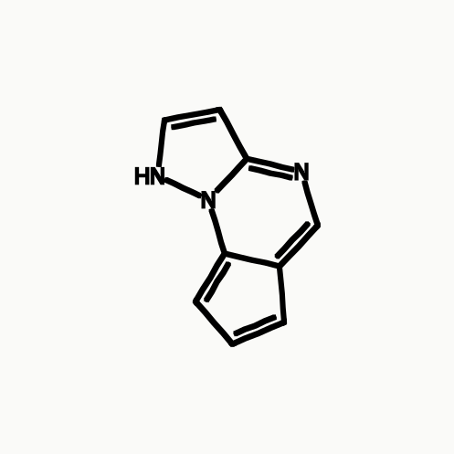 c1cc2cnc3cc[nH]n3c-2c1